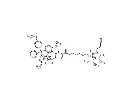 COc1ccc(C(O[C@H]2[C@@H](OC(C)=O)[C@@H]3CC(OC(=O)NCCCCCCO[PH]([O-])(OCCC#N)N(C(C)C)C(C)C)C[C@H]2[N+]3(C)C)(c2ccccc2)c2ccc(OC)cc2)cc1